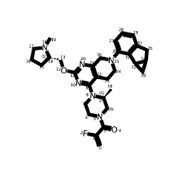 C=C(F)C(=O)N1CCN(c2nc(OC[C@@H]3CCCN3C)nc3c2CCN(c2cccc4c2C2CC2C4)C3)[C@@H](C)C1